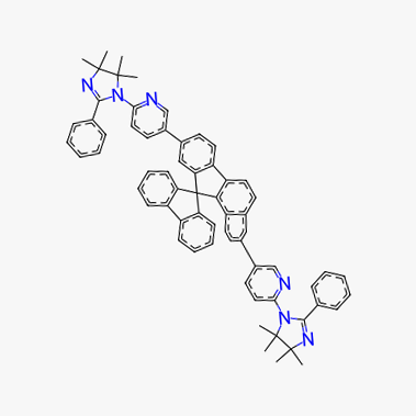 CC1(C)N=C(c2ccccc2)N(c2ccc(-c3ccc4c(c3)C3(c5ccccc5-c5ccccc53)c3c-4ccc4cc(-c5ccc(N6C(c7ccccc7)=NC(C)(C)C6(C)C)nc5)ccc34)cn2)C1(C)C